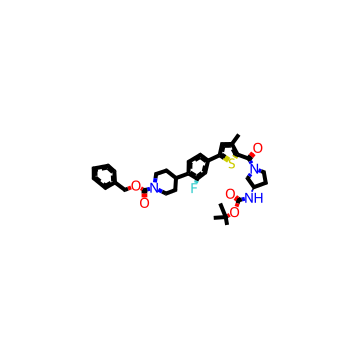 Cc1cc(-c2ccc(C3CCN(C(=O)OCc4ccccc4)CC3)c(F)c2)sc1C(=O)N1CC[C@H](NC(=O)OC(C)(C)C)C1